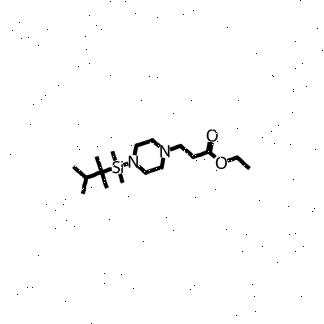 CCOC(=O)CCN1CCN([Si](C)(C)C(C)(C)C(C)C)CC1